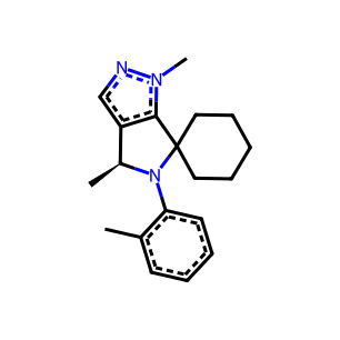 Cc1ccccc1N1[C@@H](C)c2cnn(C)c2C12CCCCC2